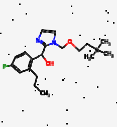 CCCc1cc(F)ccc1C(O)c1nccn1COCC[Si](C)(C)C